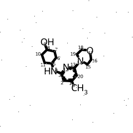 Cc1cc(NC2CCC(O)CC2)nc(N2CCOCC2)c1